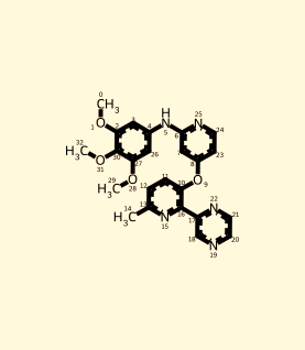 COc1cc(Nc2cc(Oc3ccc(C)nc3-c3cnccn3)ccn2)cc(OC)c1OC